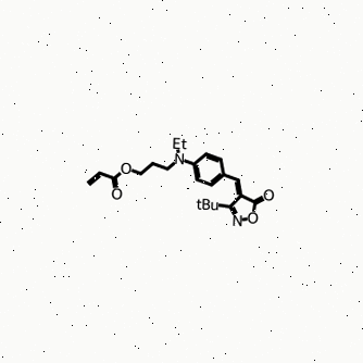 C=CC(=O)OCCCN(CC)c1ccc(C=C2C(=O)ON=C2C(C)(C)C)cc1